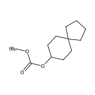 CC(C)(C)OC(=O)OC1CCC2(CCCC2)CC1